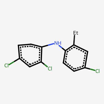 CCc1cc(Cl)ccc1Nc1ccc(Cl)cc1Cl